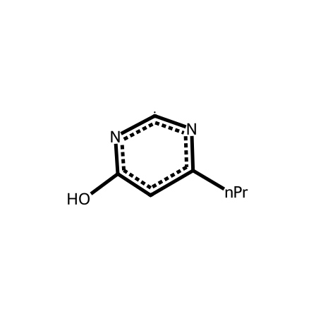 CCCc1cc(O)n[c]n1